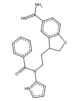 N=C(N)c1ccc2c(c1)C(CCN(C(=O)c1ccccc1)c1ccc[nH]1)CO2